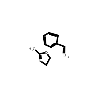 C=Cc1ccccc1.CC1=NCCO1